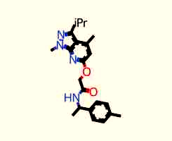 Cc1ccc(C(C)NC(=O)COc2cc(C)c3c(C(C)C)nn(C)c3n2)cc1